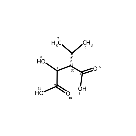 CC(C)[C@H](C(=O)O)C(O)C(=O)O